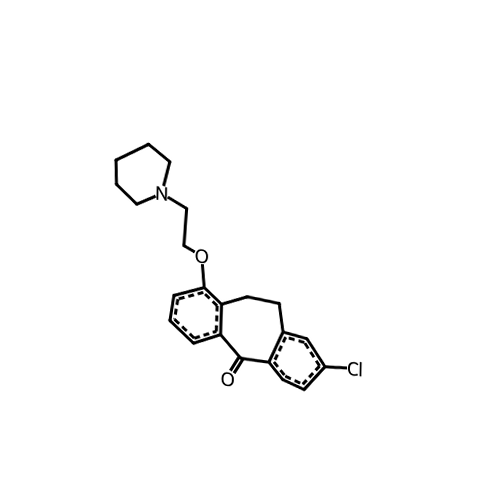 O=C1c2ccc(Cl)cc2CCc2c(OCCN3CCCCC3)cccc21